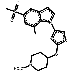 CS(=O)(=O)c1cc(F)c2c(ccn2-c2csc(OC3CCN(C(=O)O)CC3)n2)c1